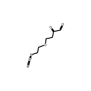 [N-]=[N+]=NCCOCCC(=O)C=O